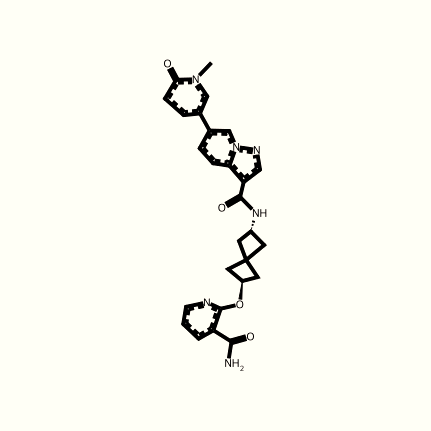 Cn1cc(-c2ccc3c(C(=O)N[C@H]4CC5(C4)C[C@H](Oc4ncccc4C(N)=O)C5)cnn3c2)ccc1=O